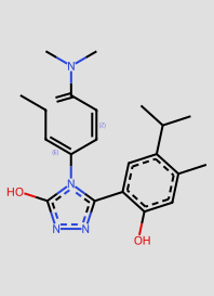 C=C(/C=C\C(=C/CC)n1c(O)nnc1-c1cc(C(C)C)c(C)cc1O)N(C)C